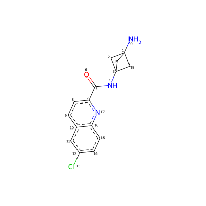 NC12CC(NC(=O)c3ccc4cc(Cl)ccc4n3)(C1)C2